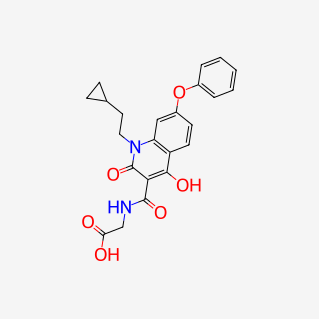 O=C(O)CNC(=O)c1c(O)c2ccc(Oc3ccccc3)cc2n(CCC2CC2)c1=O